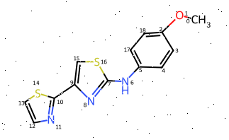 COc1ccc(Nc2nc(-c3nccs3)cs2)cc1